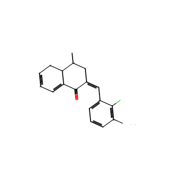 COc1cccc(C=C2CC(C)C3CC=CC=C3C2=O)c1Cl